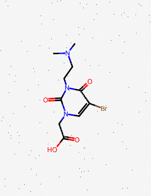 CN(C)CCn1c(=O)c(Br)cn(CC(=O)O)c1=O